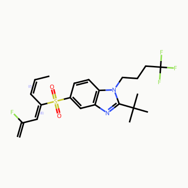 C=C(F)/C=C(\C=C/C)S(=O)(=O)c1ccc2c(c1)nc(C(C)(C)C)n2CCCC(F)(F)F